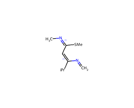 C=N/C(=C\C(=N/C)SC)C(C)C